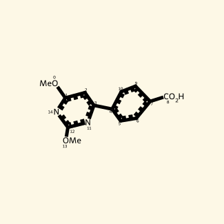 COc1cc(-c2ccc(C(=O)O)cc2)nc(OC)n1